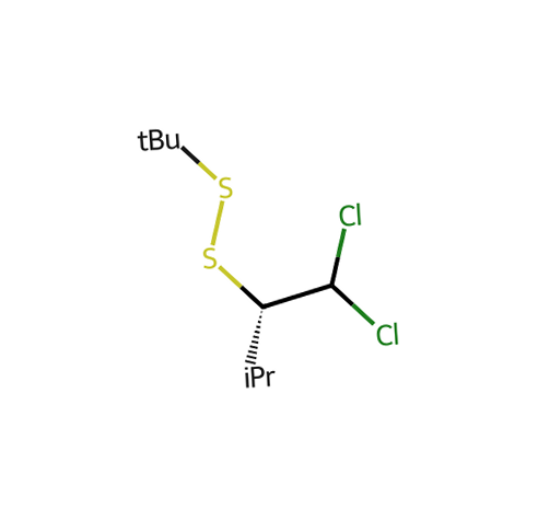 CC(C)[C@H](SSC(C)(C)C)C(Cl)Cl